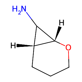 NC1[C@H]2CCCO[C@@H]12